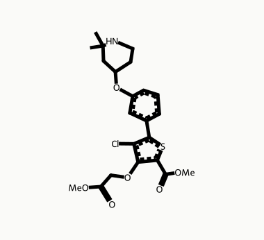 COC(=O)COc1c(C(=O)OC)sc(-c2cccc(OC3CCNC(C)(C)C3)c2)c1Cl